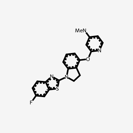 CNc1ccnc(Oc2cccc3c2CCN3c2nc3ccc(F)cc3s2)c1